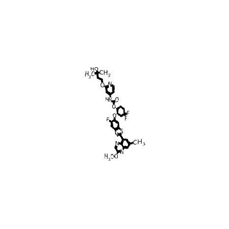 COc1cnc2c(-c3nc4cc(F)c(O[C@H]5CC(F)(F)CC[C@H]5OC(=O)Nc5ccnc(OCCC(C)(C)O)c5)cc4s3)cc(C)cc2n1